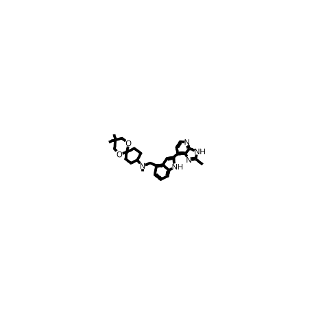 Cc1nc2c(-c3cc4c(CN(C)C5CCC6(CC5)OCC(C)(C)CO6)cccc4[nH]3)ccnc2[nH]1